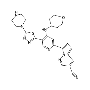 N#Cc1cnn2c(-c3cc(NC4CCOCC4)c(-c4nnc(N5CCNCC5)s4)cn3)ccc2c1